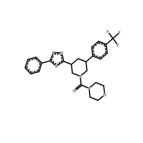 O=C(N1CCOCC1)N1CC(c2ccc(C(F)(F)F)cc2)CC(c2nc(-c3ccccc3)no2)C1